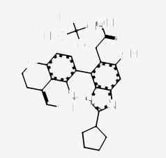 C=Nc1c(-c2c([C@H](OC(C)(C)C)C(=O)O)c(C)cc3nc(C4CCCC4)sc23)ccc2c1/C(=C\C)CCO2